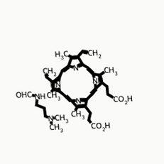 C=CC1=C(C)c2cc3[nH]c(cc4nc(cc5[nH]c(cc1n2)c(C)c5CCC(=O)O)C(CCC(=O)O)=C4C)c(C)c3C=C.CN(C)CCCNC=O